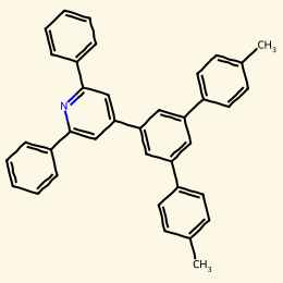 Cc1ccc(-c2cc(-c3ccc(C)cc3)cc(-c3cc(-c4ccccc4)nc(-c4ccccc4)c3)c2)cc1